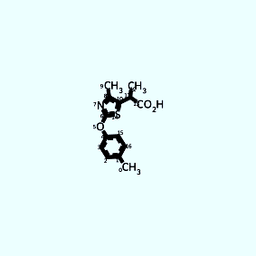 Cc1ccc(Oc2nc(C)c(C(C)C(=O)O)s2)cc1